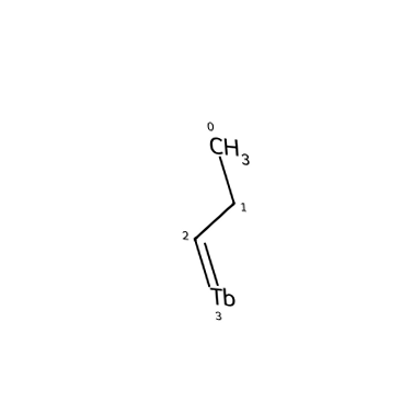 CC[CH]=[Tb]